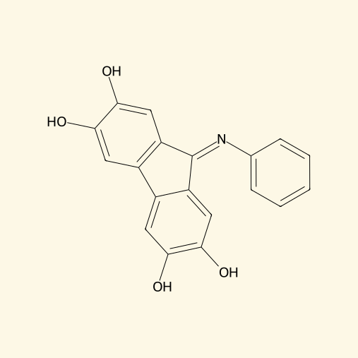 Oc1cc2c(cc1O)-c1cc(O)c(O)cc1C2=Nc1ccccc1